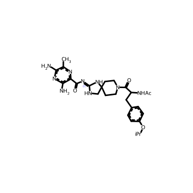 CC(=O)NC(Cc1ccc(OC(C)C)cc1)C(=O)N1CCC2(CC1)CN/C(=N\C(=O)c1nc(C)c(N)nc1N)N2